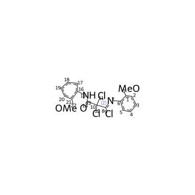 COc1ccccc1/N=C(\Cl)C(Cl)(Cl)C(=O)Nc1ccccc1OC